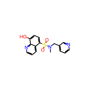 CN(Cc1cccnc1)S(=O)(=O)c1ccc(O)c2ncccc12